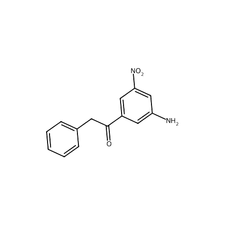 Nc1cc(C(=O)Cc2ccccc2)cc([N+](=O)[O-])c1